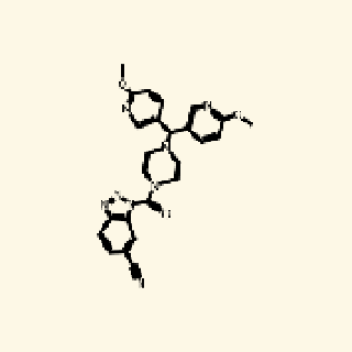 COc1ccc(C(c2ccc(OC)nc2)N2CCN(C(=O)n3nnc4ccc(C#N)cc43)CC2)cn1